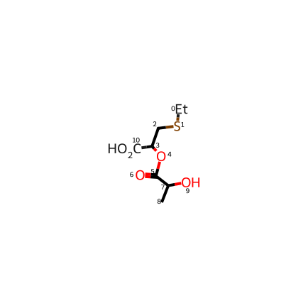 CCSCC(OC(=O)C(C)O)C(=O)O